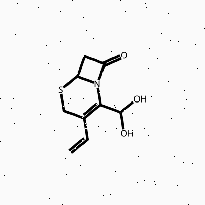 C=CC1=C(C(O)O)N2C(=O)CC2SC1